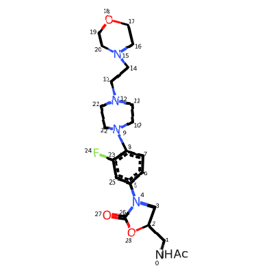 CC(=O)NCC1CN(c2ccc(N3CCN(CCN4CCOCC4)CC3)c(F)c2)C(=O)O1